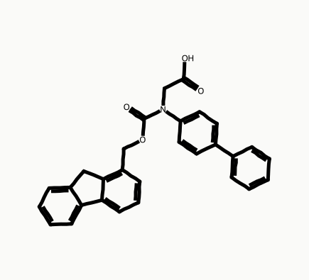 O=C(O)CN(C(=O)OCc1cccc2c1Cc1ccccc1-2)c1ccc(-c2ccccc2)cc1